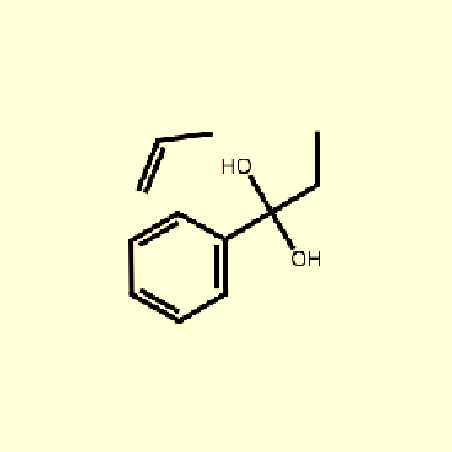 C=CC.CCC(O)(O)c1ccccc1